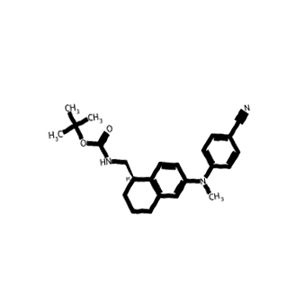 CN(c1ccc(C#N)cc1)c1ccc2c(c1)CCC[C@H]2CNC(=O)OC(C)(C)C